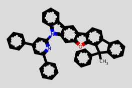 CC1(c2ccccc2)c2ccccc2-c2ccc3c(oc4cc5c(cc43)c3ccccc3n5-c3cc(-c4ccccc4)cc(-c4ccccc4)n3)c21